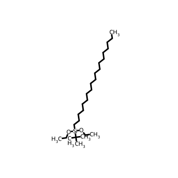 CCCCCCCCCCCCCCCCCCC[Si](OCC)(OCC)C(C)(C)C